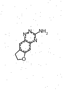 Nc1nnc2cc3c(cc2n1)OCC3